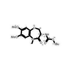 COc1cc2c(cc1OC)N(C)C(=O)[C@@H](NC(=O)OC(C)(C)C)CO2